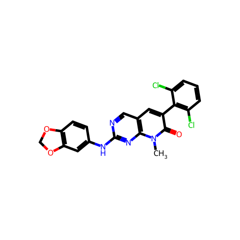 Cn1c(=O)c(-c2c(Cl)cccc2Cl)cc2cnc(Nc3ccc4c(c3)OCO4)nc21